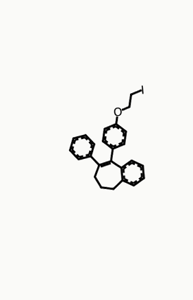 ICCOc1ccc(C2=C(c3ccccc3)CCCc3ccccc32)cc1